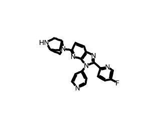 Fc1ccc(-c2nc3ccc(N4CC5CC4CN5)nc3n2-c2ccncc2)nc1